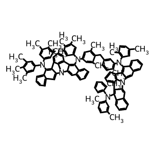 Cc1ccc(C)c(N(c2ccccc2C)c2c3ccccc3cc3c2c2cccc4c5c(N(c6cc(C)ccc6C)c6cc(Cc7c(C)cc(N(c8cc(C)c(C)c(C)c8)c8c9ccccc9cc9c8c8cccc%10c%11c(N(c%12cc(C)c(C)c(C)c%12)c%12cc(C)c(C)c(C)c%12)c%12ccccc%12cc%11n9c%108)cc7C)ccc6C)c6ccccc6cc5n3c24)c1